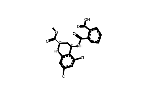 COC(=O)[C@@H]1C[C@@H](NC(=O)c2ccccc2C(=O)O)c2c(Cl)cc(Cl)cc2N1